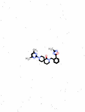 Cc1cc(C)nc(N2CCC3(CCCN(Cc4ccccc4-c4nc(C)no4)C3=O)CC2)n1